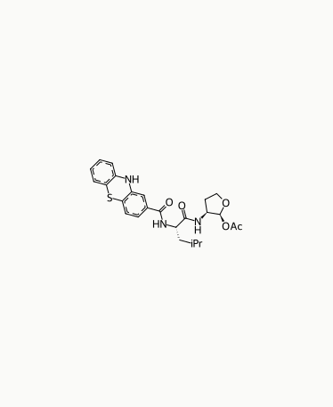 CC(=O)O[C@@H]1OCC[C@@H]1NC(=O)[C@H](CC(C)C)NC(=O)c1ccc2c(c1)Nc1ccccc1S2